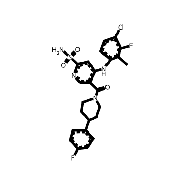 Cc1c(Nc2cc(S(N)(=O)=O)ncc2C(=O)N2CCC(c3ccc(F)cc3)CC2)ccc(Cl)c1F